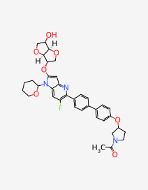 CC(=O)N1CCC(Oc2ccc(-c3ccc(-c4nc5cc(O[C@@H]6CO[C@H]7[C@@H]6OC[C@H]7O)n(C6CCCCO6)c5cc4F)cc3)cc2)C1